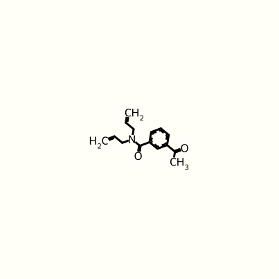 C=CCN(CC=C)C(=O)c1cccc(C(C)=O)c1